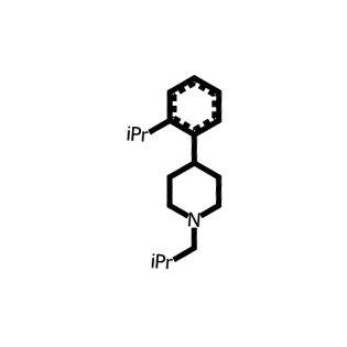 CC(C)CN1CCC(c2ccccc2C(C)C)CC1